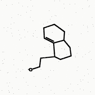 [O]CCC1CCCC2CCCC=C12